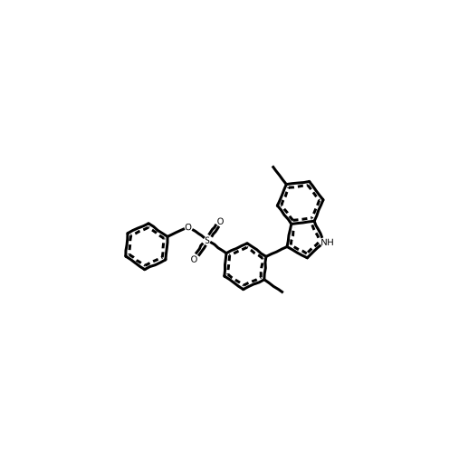 Cc1ccc2[nH]cc(-c3cc(S(=O)(=O)Oc4ccccc4)ccc3C)c2c1